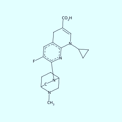 CN1CC2CCC1CN2c1nc2c(cc1F)CC(C(=O)O)=CN2C1CC1